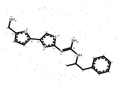 CC(Cc1ccccc1)NC(N)=Nc1nc(-c2ccc(CN)o2)cs1